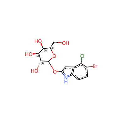 OC[C@H]1OC(Oc2cc3c(Cl)c(Br)ccc3[nH]2)[C@H](O)[C@@H](O)[C@H]1O